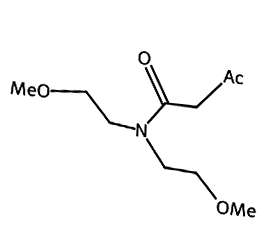 COCCN(CCOC)C(=O)CC(C)=O